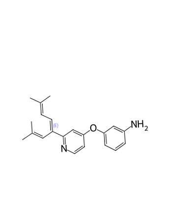 CC(C)=C/C=C(\C=C(C)C)c1cc(Oc2cccc(N)c2)ccn1